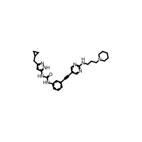 O=C(Nc1cccc(C#Cc2cnc(NCCCN3CCCCC3)nc2)c1)Nc1cc(CC2CC2)n[nH]1